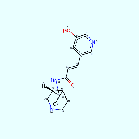 O=C(C=Cc1cncc(O)c1)N[C@H]1CN2CCC1CC2